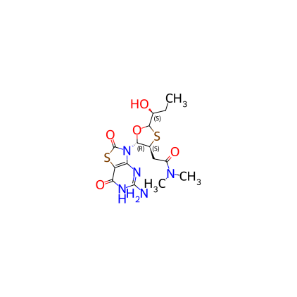 CC[C@H](O)C1O[C@@H](n2c(=O)sc3c(=O)[nH]c(N)nc32)[C@H](CC(=O)N(C)C)S1